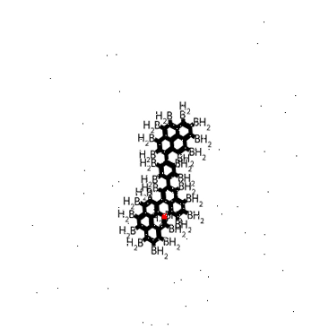 Bc1c(B)c(-c2c(B)c(B)c3c(B)c(B)c4c(B)c(B)c(B)c5c(B)c(B)c2c3c45)c(B)c(B)c1-c1c(B)c(-c2c(B)c(B)c3c(B)c(B)c4c(B)c(B)c(B)c5c(B)c(B)c2c3c45)c2c(B)c(B)c(B)c(B)c2c1B